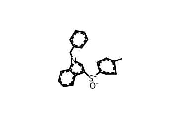 Cc1ccc([S+]([O-])c2cn(Cc3ccccc3)c3ccccc23)cc1